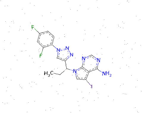 CCC(c1cn(-c2ccc(F)cc2F)nn1)n1cc(I)c2c(N)ncnc21